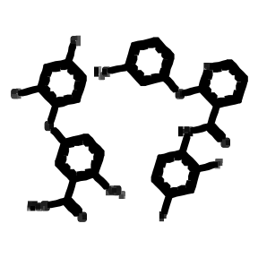 COC(=O)c1cc(Oc2ccc(Cl)cc2Cl)ccc1[N+](=O)[O-].O=C(Nc1ccc(F)cc1F)c1cccnc1Oc1cccc(C(F)(F)F)c1